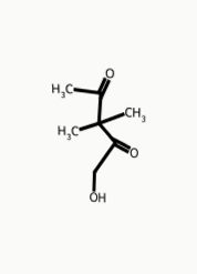 CC(=O)C(C)(C)C(=O)CO